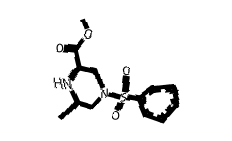 COC(=O)C1CN(S(=O)(=O)c2ccccc2)CC(C)N1